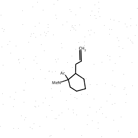 C=CCC1CCCCC1(NC)C(C)=O